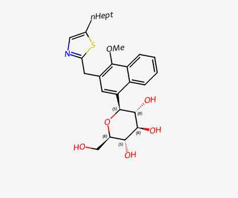 CCCCCCCc1cnc(Cc2cc([C@@H]3O[C@H](CO)[C@@H](O)[C@H](O)[C@H]3O)c3ccccc3c2OC)s1